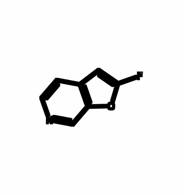 Fc1cc2ccncc2o1